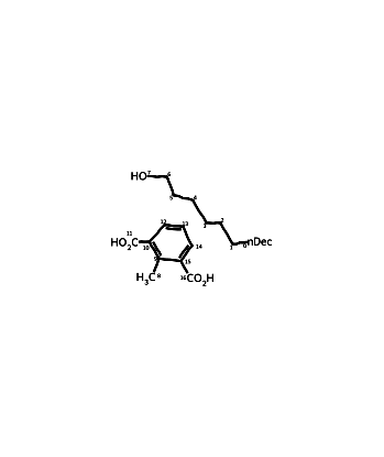 CCCCCCCCCCCCCCCCO.Cc1c(C(=O)O)cccc1C(=O)O